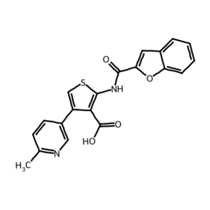 Cc1ccc(-c2csc(NC(=O)c3cc4ccccc4o3)c2C(=O)O)cn1